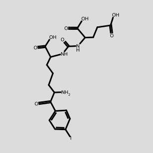 NC(CCCC(NC(=O)NC(CCC(=O)O)C(=O)O)C(=O)O)C(=O)c1ccc(I)cc1